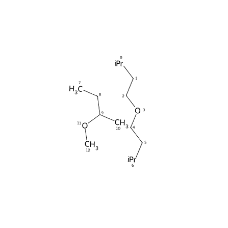 CC(C)CCOCCC(C)C.CCC(C)OC